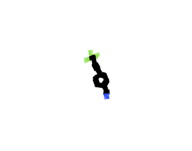 N#Cc1ccc(C#CC(F)(F)F)cc1